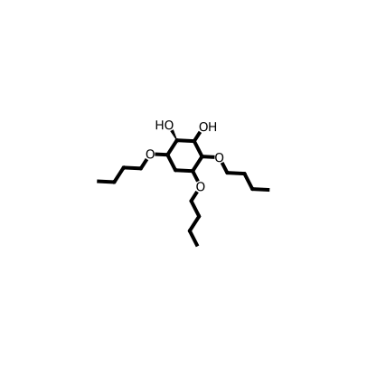 CCCCOC1CC(OCCCC)[C@@H](O)C(O)C1OCCCC